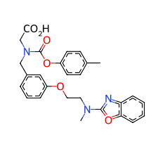 Cc1ccc(OC(=O)N(CC(=O)O)Cc2cccc(OCCN(C)c3nc4ccccc4o3)c2)cc1